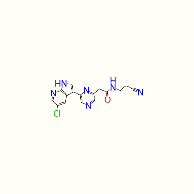 N#CCCNC(=O)Cc1cncc(-c2c[nH]c3ncc(Cl)cc23)n1